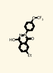 CCc1ccc2c(O)nn(-c3ccc(OC(F)(F)F)cc3)c(=O)c2c1